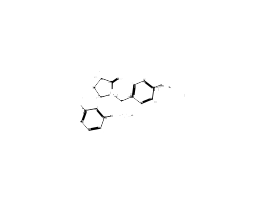 COc1cccc(F)c1[C@@H]1C[C@H](Cl)C(=O)N1Cc1ccc(OC(F)(F)F)cc1